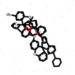 CC(C)(C)C1=CC2C(C)(C=C1)Oc1ccc(C(C)(C)C)cc1C21c2ccccc2-c2ccc(N(c3ccc4c(c3)C3(c5ccccc5O4)c4cc(C5CCCCC5)ccc4-c4ccc(C5CCCCC5)cc43)c3ccccc3-c3ccccc3)cc21